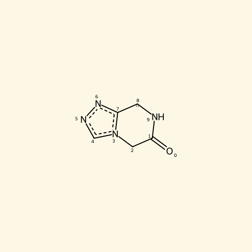 O=C1Cn2cnnc2[C]N1